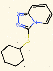 c1ccn2c(SC3CCCCC3)nnc2c1